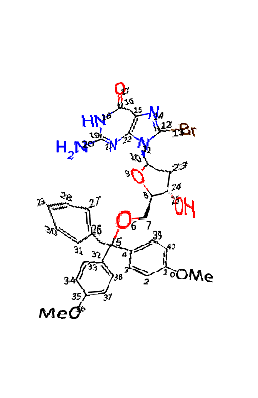 COc1ccc(C(OC[C@H]2O[C@@H](n3c(Br)nc4c(=O)[nH]c(N)nc43)C[C@@H]2O)(c2ccccc2)c2ccc(OC)cc2)cc1